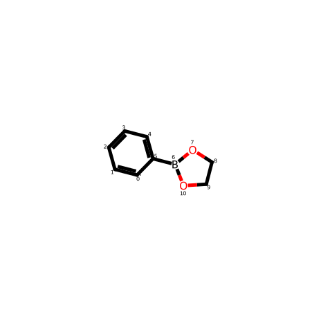 [c]1ccccc1B1OCCO1